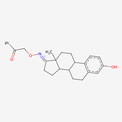 CC(C)C(=O)CO/N=C1\CCC2C3CCc4cc(O)ccc4C3CCC12C